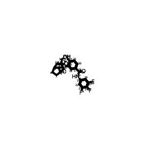 CO[C@]1(CO)CC2CCC(C1)[C@H]2S(=O)(=O)c1cc(C(=O)Nc2cc(F)c(F)c(F)c2)ccc1Cl